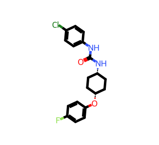 O=C(Nc1ccc(Cl)cc1)N[C@H]1CC[C@@H](Oc2ccc(F)cc2)CC1